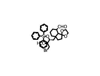 C=C(CBr)[C@H](CC12CCCC(C=O)C1C1(CC2)OCCO1)O[Si](c1ccccc1)(c1ccccc1)c1ccccc1